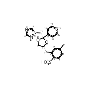 Cc1ccc(S(=O)(=O)O)c(C[C@@H]2CO[C@@](Cn3cncn3)(c3ccncc3)O2)c1